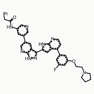 CC(C)CC(=O)Nc1cncc(-c2cnc3[nH]nc(-c4cc5c(-c6cc(F)cc(OCCN7CCCC7)c6)ccnc5[nH]4)c3c2)c1